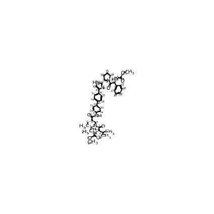 CC[C@@H](CN(CC)C(=O)[C@@H](NC(=O)OC)C(C)C)C(=O)Nc1ccc(-c2ccc(-c3c[nH]c([C@@H]4CCCN4C(=O)[C@H](NC(=O)OC)c4ccccc4)n3)cc2)cc1